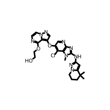 Cn1c(Nc2cc3n(n2)CCCC3(C)C)nc2ncc(Oc3cnn4ccnc(OCCO)c34)c(Cl)c21